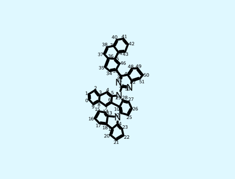 c1ccc2cc3c(cc2c1)c1c(-n2c4ccccc4c4ccccc42)cccc1n3-c1nc(-c2ccc3ccc4ccccc4c3c2)c2ccccc2n1